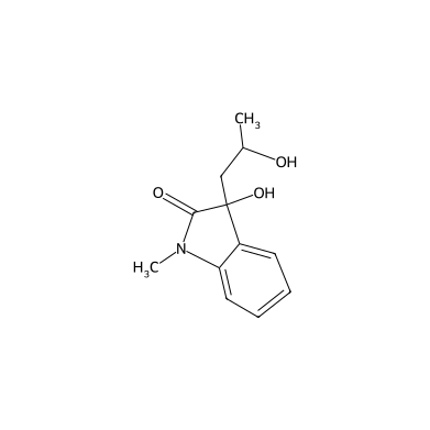 CC(O)CC1(O)C(=O)N(C)c2ccccc21